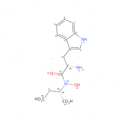 N[C@@H](Cc1c[nH]c2ccccc12)C(=O)N(O)[C@@H](CC(=O)O)C(=O)O